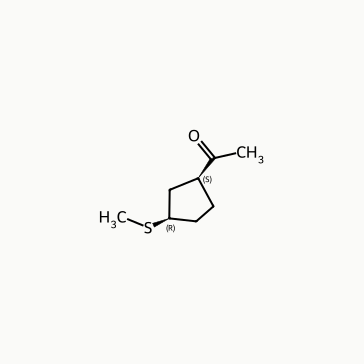 CS[C@@H]1CC[C@H](C(C)=O)C1